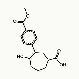 COC(=O)c1ccc(C2CN(C(=O)O)CCCC2O)cc1